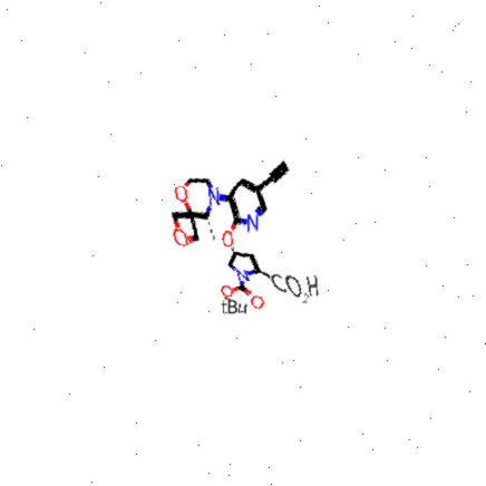 C#Cc1cnc(O[C@@H]2C[C@@H](C(=O)O)N(C(=O)OC(C)(C)C)C2)c(N2CCOC3(COC3)[C@H]2C)c1